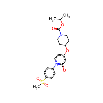 CC(C)OC(=O)N1CCC(Oc2ccn(-c3ccc(S(C)(=O)=O)cc3)c(=O)c2)CC1